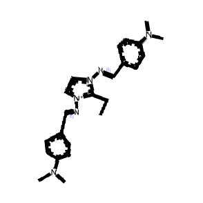 CCc1n(/N=C/c2ccc(N(C)C)cc2)cc[n+]1/N=C/c1ccc(N(C)C)cc1